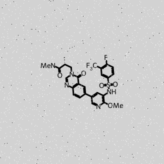 CNC(=O)[C@H](C)Cn1cnc2ccc(-c3cnc(OC)c(NS(=O)(=O)c4ccc(F)c(C(F)(F)F)c4)c3)cc2c1=O